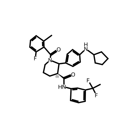 Cc1cccc(F)c1C(=O)N1CCC[C@H](C(=O)Nc2cccc(C(C)(F)F)c2)C1c1ccc(NC2CCCC2)cc1